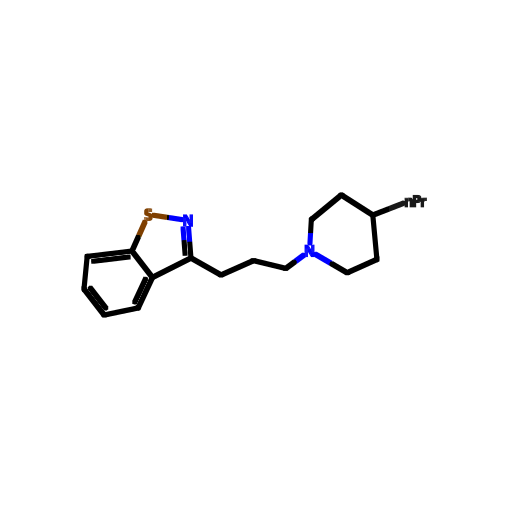 CCCC1CCN(CCCc2nsc3ccccc23)CC1